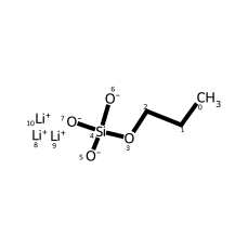 CCCO[Si]([O-])([O-])[O-].[Li+].[Li+].[Li+]